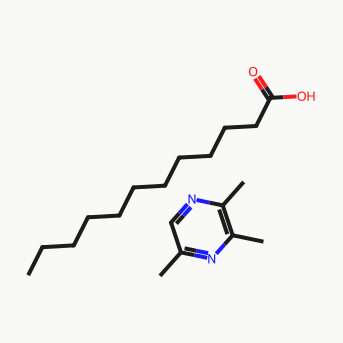 CCCCCCCCCCCC(=O)O.Cc1cnc(C)c(C)n1